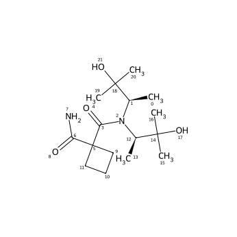 C[C@@H](N(C(=O)C1(C(N)=O)CCC1)[C@H](C)C(C)(C)O)C(C)(C)O